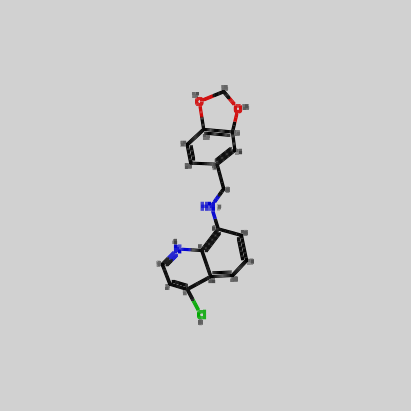 Clc1ccnc2c(NCc3ccc4c(c3)OCO4)cccc12